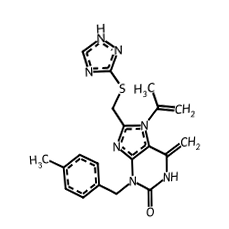 C=C1NC(=O)N(Cc2ccc(C)cc2)c2nc(CSc3nc[nH]n3)n(C(=C)C)c21